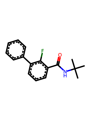 CC(C)(C)NC(=O)c1cccc(-c2ccccc2)c1F